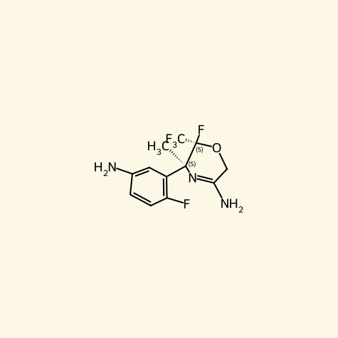 C[C@@]1(c2cc(N)ccc2F)N=C(N)CO[C@@]1(F)C(F)(F)F